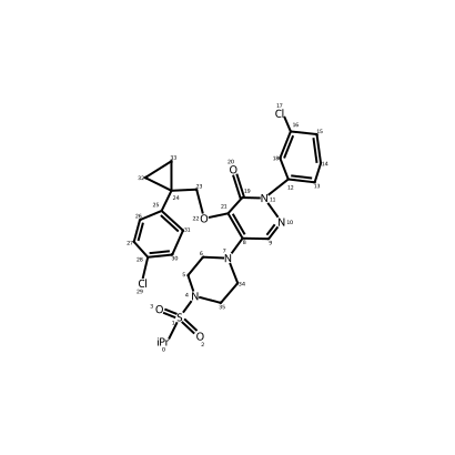 CC(C)S(=O)(=O)N1CCN(c2cnn(-c3cccc(Cl)c3)c(=O)c2OCC2(c3ccc(Cl)cc3)CC2)CC1